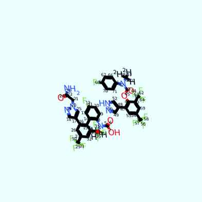 [2H]C([2H])([2H])N(C(=O)O)c1ccc(F)cc1-c1c(-c2cnn(CC(N)=O)c2)cc(C(F)(F)F)cc1C(F)(F)F.[2H]C([2H])([2H])N(C(=O)Oc1c(-c2cn[nH]c2)cc(C(F)(F)F)cc1C(F)(F)F)c1ccc(F)cc1